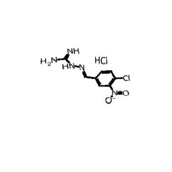 Cl.N=C(N)N/N=C/c1ccc(Cl)c([N+](=O)[O-])c1